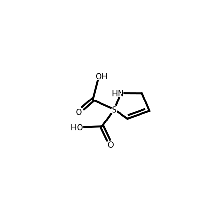 O=C(O)S1(C(=O)O)C=CCN1